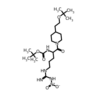 CC(C)(C)OCCC1CCN(C(=O)C(CCCNC(=N)N[N+](=O)[O-])NC(=O)OC(C)(C)C)CC1